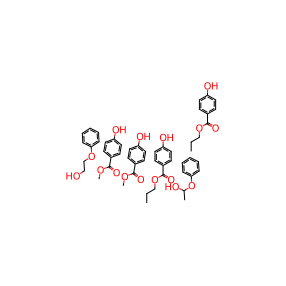 CC(O)Oc1ccccc1.CCCOC(=O)c1ccc(O)cc1.CCCOC(=O)c1ccc(O)cc1.COC(=O)c1ccc(O)cc1.COC(=O)c1ccc(O)cc1.OCCOc1ccccc1